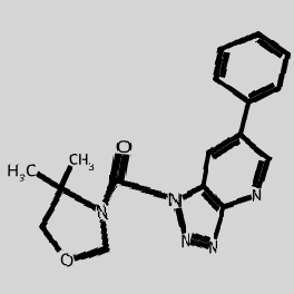 CC1(C)COCN1C(=O)n1nnc2ncc(-c3ccccc3)cc21